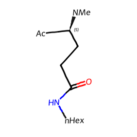 CCCCCCNC(=O)CC[C@H](NC)C(C)=O